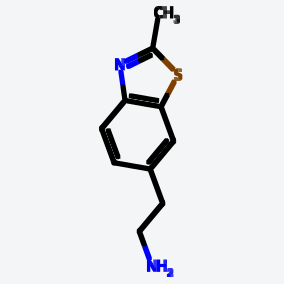 Cc1nc2ccc(CCN)cc2s1